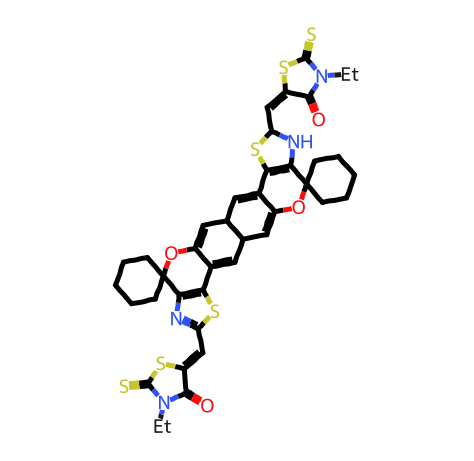 CCN1C(=O)/C(=C/c2nc3c(s2)C2=CC4C=C5OC6(CCCCC6)C6=C(SC(/C=C7/SC(=S)N(CC)C7=O)N6)C5=CC4C=C2OC32CCCCC2)SC1=S